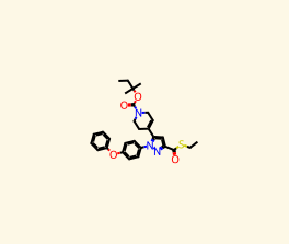 CCSC(=O)c1cc(C2=CCN(C(=O)OC(C)(C)CC)CC2)n(-c2ccc(Oc3ccccc3)cc2)n1